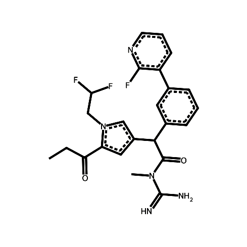 CCC(=O)c1cc(C(C(=O)N(C)C(=N)N)c2cccc(-c3cccnc3F)c2)cn1CC(F)F